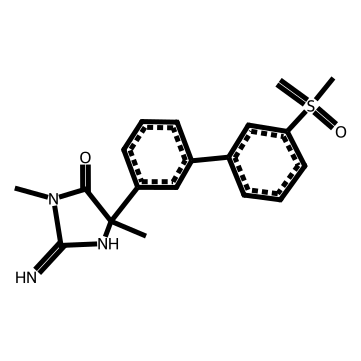 C=S(C)(=O)c1cccc(-c2cccc(C3(C)NC(=N)N(C)C3=O)c2)c1